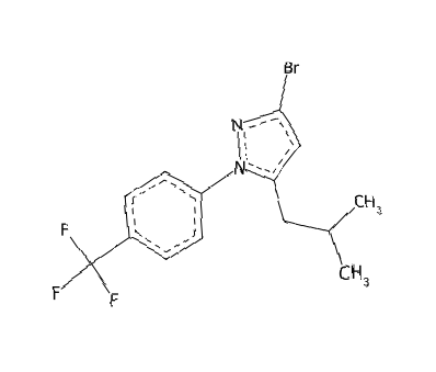 CC(C)Cc1cc(Br)nn1-c1ccc(C(F)(F)F)cc1